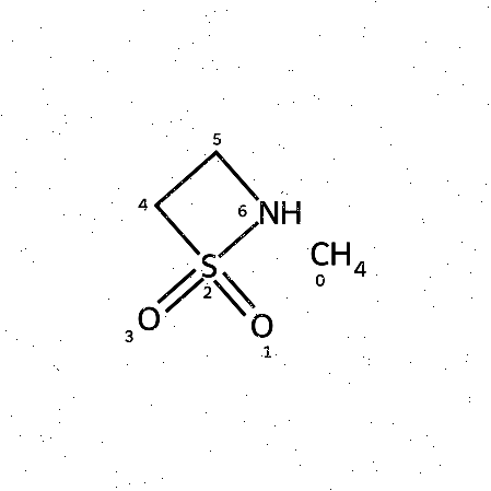 C.O=S1(=O)CCN1